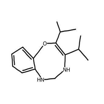 CC(C)/C1=C(\C(C)C)Oc2ccccc2NCN1